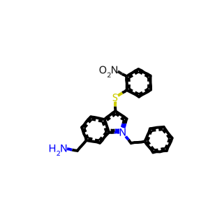 NCc1ccc2c(Sc3ccccc3[N+](=O)[O-])cn(Cc3ccccc3)c2c1